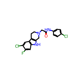 O=C(CN1CCc2c([nH]c3cc(F)c(Cl)cc23)C1)Nc1ccc(Cl)cc1